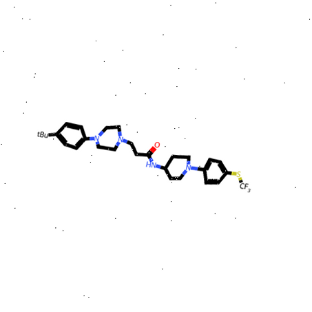 CC(C)(C)c1ccc(N2CCN(CCC(=O)NC3CCN(c4ccc(SC(F)(F)F)cc4)CC3)CC2)cc1